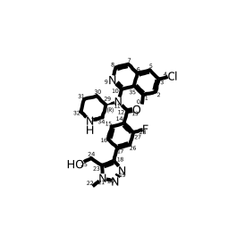 Cc1cc(Cl)cc2ccnc(N(C(=O)c3ccc(-c4nnn(C)c4CO)cc3F)[C@@H]3CCCNC3)c12